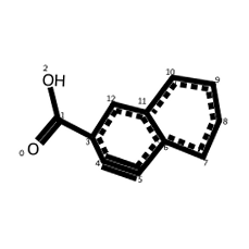 O=C(O)c1c#cc2ccccc2c1